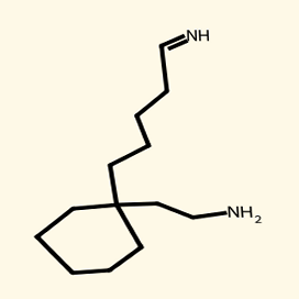 N=CCCCCC1(CCN)CCCCC1